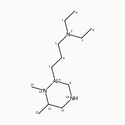 CCN(CC)CC[CH2][Al]1[CH2]NCC(C)[N]1C